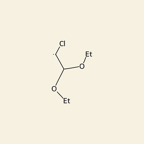 CCOC([CH]Cl)OCC